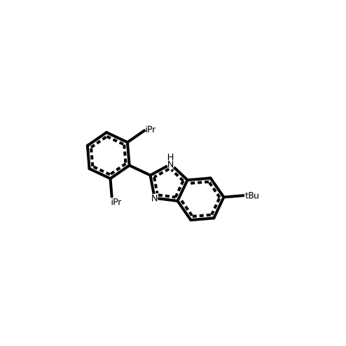 CC(C)c1cccc(C(C)C)c1-c1nc2ccc(C(C)(C)C)cc2[nH]1